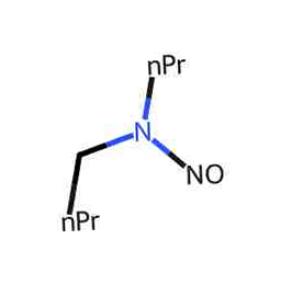 CCCCN(CCC)N=O